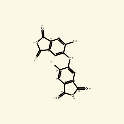 O=C1OC(=O)c2cc(Oc3cc4c(cc3F)C(=O)OC4=O)c(F)cc21